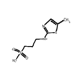 Cc1cnc(NCCCS(=O)(=O)O)s1